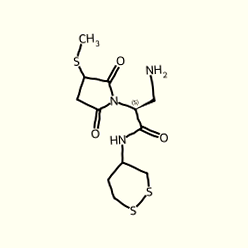 CSC1CC(=O)N([C@@H](CN)C(=O)NC2CCSSC2)C1=O